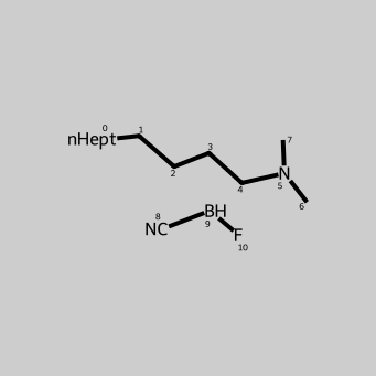 CCCCCCCCCCCN(C)C.N#CBF